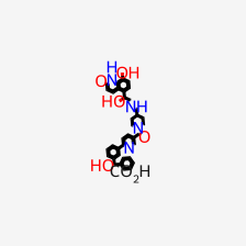 O=C(c1ccc(-c2cccc(C(O)(C(=O)O)c3ccccc3)c2)nc1)N1CCC(CNCC(O)c2ccc(O)c3[nH]c(=O)ccc23)CC1